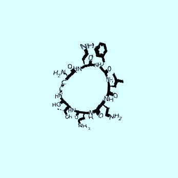 CC(C)C[C@@H]1NC(=O)[C@@H](Cc2ccccc2)NC(=O)[C@H](CCN)NC(=O)[C@@H](N)CCNC(O)[C@H]([C@@H](C)O)NC(=O)[C@H](CCN)NC(=O)[C@H](CCN)NC1=O